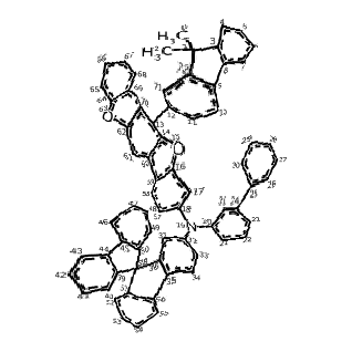 CC1(C)c2ccccc2-c2ccc(-c3c4oc5cc(N(c6cccc(-c7ccccc7)c6)c6ccc7c(c6)C6(c8ccccc8-c8ccccc86)c6ccccc6-7)ccc5c4cc4oc5ccccc5c34)cc21